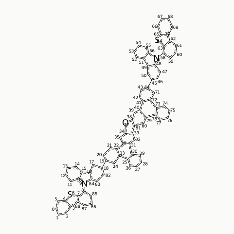 c1ccc2c(c1)sc1c(-n3c4ccccc4c4cc(-c5ccc6c(c5)c5ccccc5c5cc7c(cc65)oc5cc6c8ccc(-c9ccc%10c(c9)c9ccccc9n%10-c9cccc%10c9sc9ccccc9%10)cc8c8ccccc8c6cc57)ccc43)cccc12